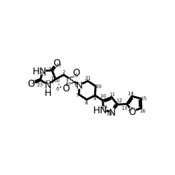 C[C@]1(CS(=O)(=O)N2CCC(c3cc(-c4ccco4)n[nH]3)CC2)NC(=O)NC1=O